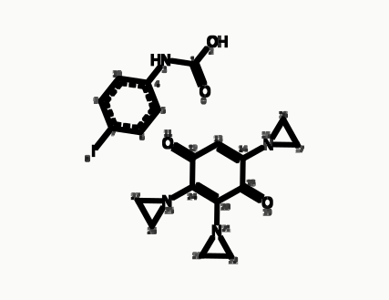 O=C(O)Nc1ccc(I)cc1.O=C1C=C(N2CC2)C(=O)C(N2CC2)=C1N1CC1